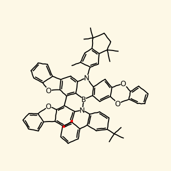 Cc1cc2c(cc1N1c3cc4c(cc3B3c5c1cc1c(oc6ccccc61)c5-c1c(ccc5c1oc1ccccc15)N3c1ccc(C(C)(C)C)cc1-c1ccccc1)Oc1ccccc1O4)C(C)(C)CCC2(C)C